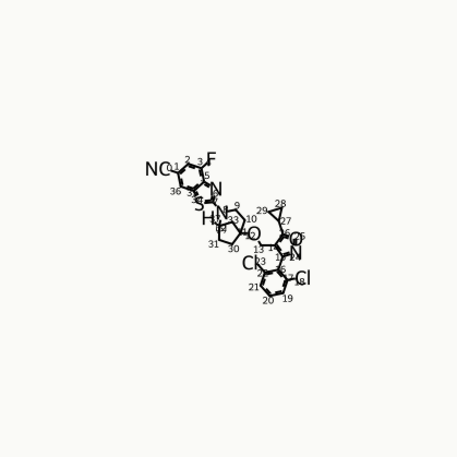 N#Cc1cc(F)c2nc(N3CCC4(OCc5c(-c6c(Cl)cccc6Cl)noc5C5CC5)CC[C@H]3C4)sc2c1